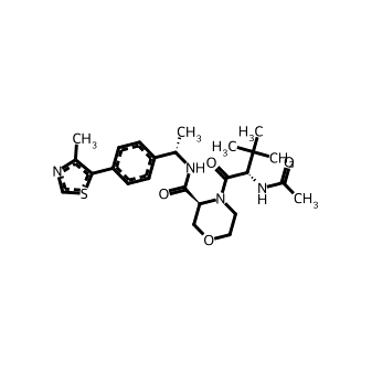 CC(=O)N[C@H](C(=O)N1CCOC[C@H]1C(=O)N[C@@H](C)c1ccc(-c2scnc2C)cc1)C(C)(C)C